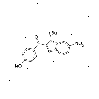 CCCCc1c(C(=O)c2ccc(O)cc2)sc2ccc([N+](=O)[O-])cc12